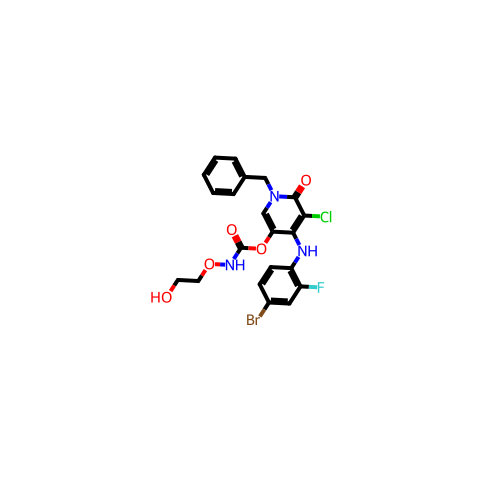 O=C(NOCCO)Oc1cn(Cc2ccccc2)c(=O)c(Cl)c1Nc1ccc(Br)cc1F